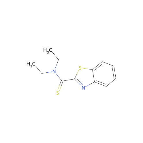 CCN(CC)C(=S)c1nc2ccccc2s1